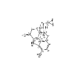 O=C1CCC2(O)[C@H]3Cc4ccc(O)c5c4[C@@]2(CCN3CC2CC2)[C@H]1O5